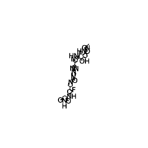 CCN(C)S(=O)(=O)Nc1cccc(C(O)c2c[nH]c3ncc(-c4cnc(N5CCN(C(=O)CN6CCC(c7ccc(NC8CCC(=O)NC8=O)cc7F)CC6)CC5)nc4)cc23)c1F